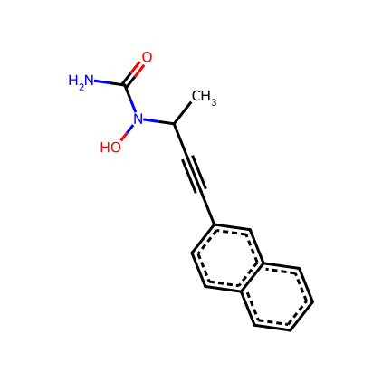 CC(C#Cc1ccc2ccccc2c1)N(O)C(N)=O